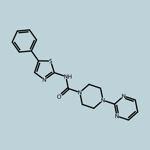 O=C(Nc1ncc(-c2ccccc2)s1)N1CCN(c2ncccn2)CC1